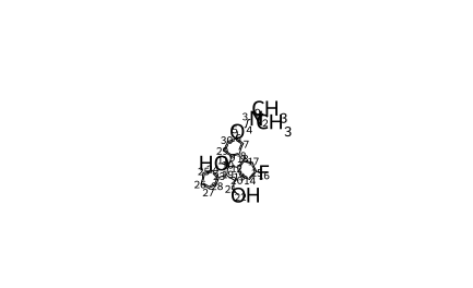 CN(C)CCOc1ccc(C(O)(c2ccc(F)cc2)C(CCO)c2ccccc2)cc1